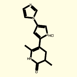 CC1=C(c2cc(-n3ccnc3)cs2)CC(C)C(=O)N1.Cl